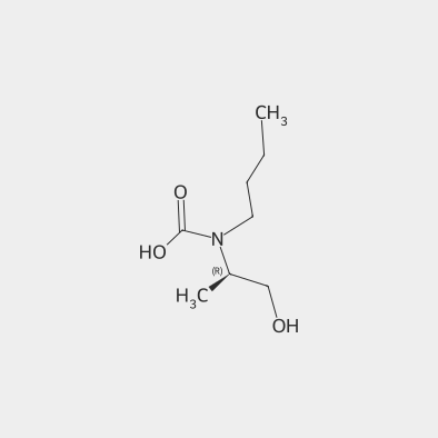 CCCCN(C(=O)O)[C@H](C)CO